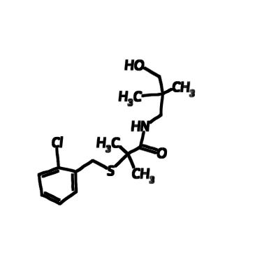 CC(C)(CO)CNC(=O)C(C)(C)SCc1ccccc1Cl